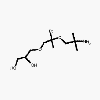 CCC(C)(COCC(O)CO)OCC(C)(C)N